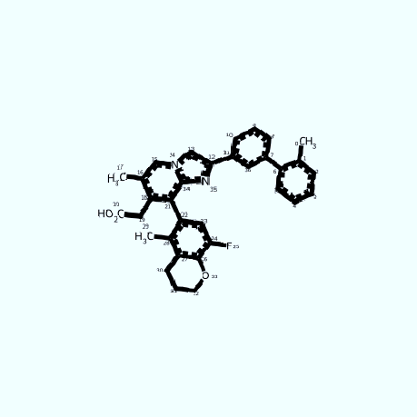 Cc1ccccc1-c1cccc(-c2cn3cc(C)c(CC(=O)O)c(-c4cc(F)c5c(c4C)CCCO5)c3n2)c1